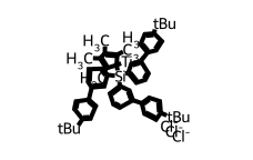 CC1=C(C)[C]([Ti+3])([Si](c2cccc(-c3ccc(C(C)(C)C)cc3)c2)(c2cccc(-c3ccc(C(C)(C)C)cc3)c2)c2cccc(-c3ccc(C(C)(C)C)cc3)c2)C(C)=C1C.[Cl-].[Cl-].[Cl-]